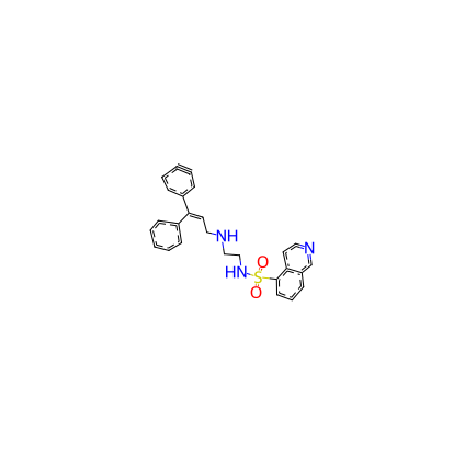 O=S(=O)(NCCNC/C=C(/c1cc#ccc1)c1ccccc1)c1cccc2cnccc12